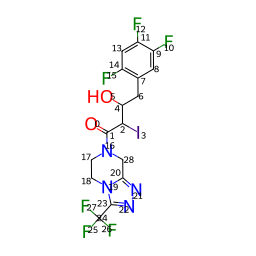 O=C(C(I)C(O)Cc1cc(F)c(F)cc1F)N1CCn2c(nnc2C(F)(F)F)C1